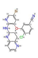 N#Cc1ccc(Cl)c(Oc2cc(Br)cnc2NC2=Nc3cccnc3CC2)c1